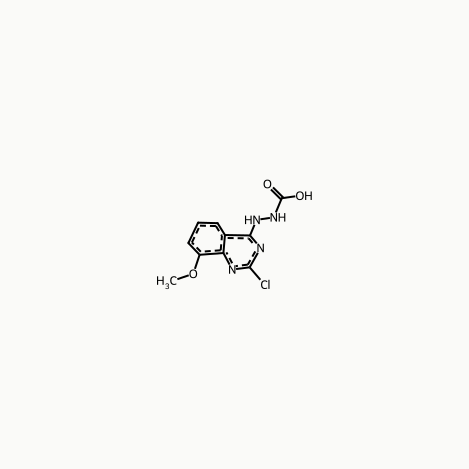 COc1cccc2c(NNC(=O)O)nc(Cl)nc12